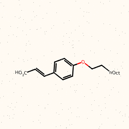 CCCCCCCCCCOc1ccc(C=CC(=O)O)cc1